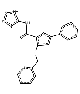 O=C(Nc1nnn[nH]1)c1sc(-c2ccccc2)cc1OCc1ccccc1